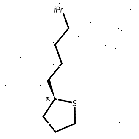 CC(C)CCCC[C@@H]1CCCS1